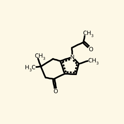 CC(=O)Cn1c(C)cc2c1CC(C)(C)CC2=O